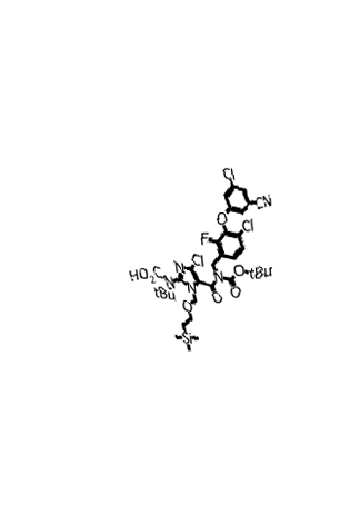 CC(C)(C)OC(=O)N(Cc1ccc(Cl)c(Oc2cc(Cl)cc(C#N)c2)c1F)C(=O)c1c(Cl)nc(N(C(=O)O)C(C)(C)C)n1COCC[Si](C)(C)C